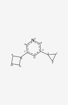 [CH]1CC1c1cncc(C2CCC2)c1